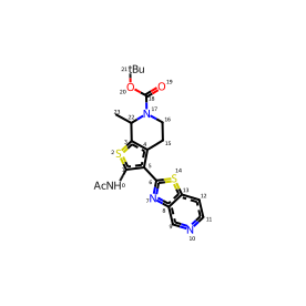 CC(=O)Nc1sc2c(c1-c1nc3cnccc3s1)CCN(C(=O)OC(C)(C)C)C2C